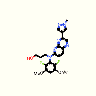 COc1cc(OC)c(F)c(N(CCCO)c2ccc3ncc(-c4cnn(C)c4)nc3n2)c1F